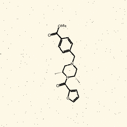 COC(=O)c1ccc(CN2C[C@@H](C)N(C(=O)c3ccco3)[C@@H](C)C2)cc1